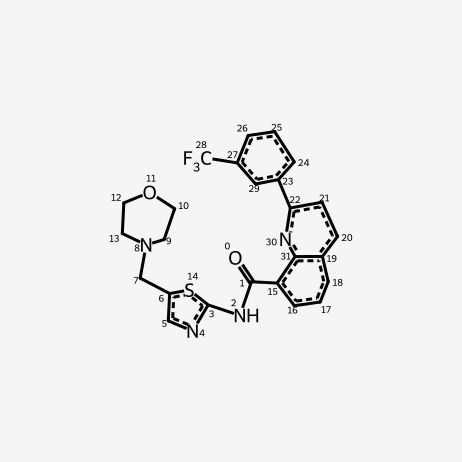 O=C(Nc1ncc(CN2CCOCC2)s1)c1cccc2ccc(-c3cccc(C(F)(F)F)c3)nc12